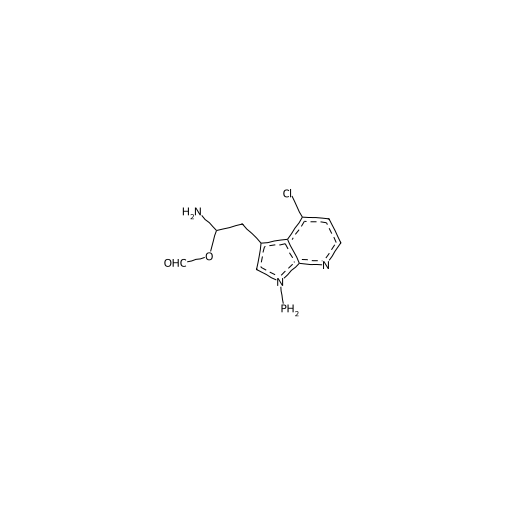 NC(Cc1cn(P)c2nccc(Cl)c12)OC=O